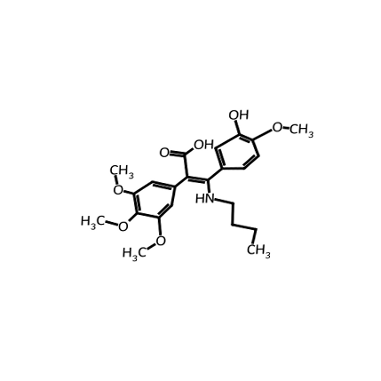 CCCCNC(=C(C(=O)O)c1cc(OC)c(OC)c(OC)c1)c1ccc(OC)c(O)c1